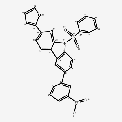 O=[N+]([O-])c1cccc(-c2ccc3c(c2)c2ccc(-c4ccco4)nc2n3S(=O)(=O)c2ccccc2)c1